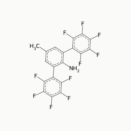 Cc1cc(-c2c(F)c(F)c(F)c(F)c2F)c(N)c(-c2c(F)c(F)c(F)c(F)c2F)c1